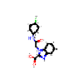 O=C(Cn1c(C(=O)O)nc2ccccc21)Nc1ccc(Cl)cc1